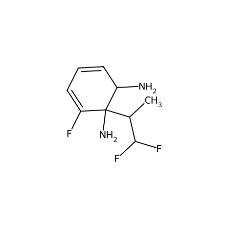 CC(C(F)F)C1(N)C(F)=CC=CC1N